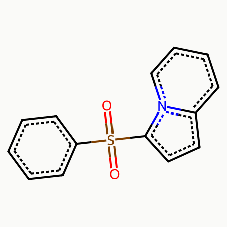 O=S(=O)(c1ccccc1)c1ccc2ccccn12